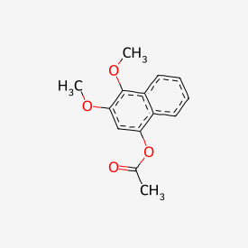 COc1cc(OC(C)=O)c2ccccc2c1OC